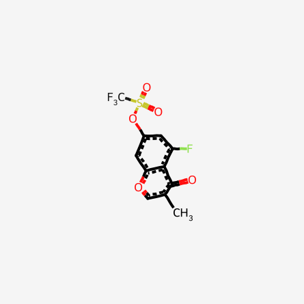 Cc1coc2cc(OS(=O)(=O)C(F)(F)F)cc(F)c2c1=O